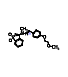 COCCOc1ccc(/C=N/N(C)C2=NS(=O)(=O)c3ccccc32)cc1